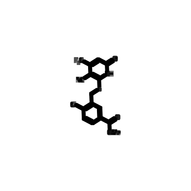 COC(=O)c1ccc(Cl)c(CSc2[nH]c(=O)cc(C(F)(F)F)c2C#N)c1